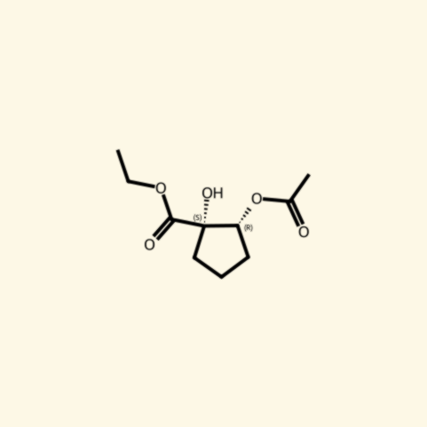 CCOC(=O)[C@]1(O)CCC[C@H]1OC(C)=O